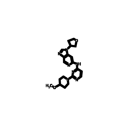 COC1CCN(c2nccc(Nc3cc4c(cn3)ncn4C3CCOC3)n2)CC1